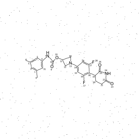 Cc1cc(C)cc(NC(=O)OC2CN(c3cc(F)c(C4CCC(=O)NC4=O)c(F)c3)C2)c1